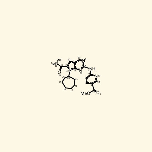 COC(=O)c1ccc(Nc2ncc3cc(C(=O)N(C)C)n(C4CCCCCC4)c3n2)nc1